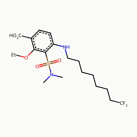 CCOc1c(C(=O)O)ccc(NCCCCCCCC(F)(F)F)c1S(=O)(=O)N(C)C